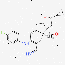 C[C@]12CC(C=N)=C(Nc3ccc(F)cc3)C=C1CC[C@@]2(CO)CC(O)C1CC1